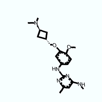 CNc1cc(C)nc(Nc2ccc(OC)c(OC[C@H]3C[C@H](N(C)C)C3)c2)n1